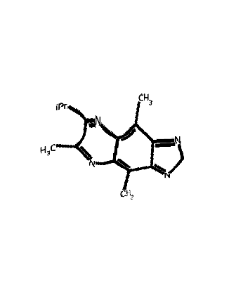 Cc1nc2c(C)c3c(c(C)c2nc1C(C)C)=NCN=3